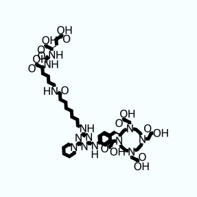 O=C(O)CC[C@H](NC(=O)NC(CCCCNC(=O)CCCCCCCNc1nc(Nc2ccc(C[C@H]3CN(CC(=O)O)CCN(CC(=O)O)CCN(CC(=O)O)CCN3CC(=O)O)cc2)nc(N2CCCCC2)n1)C(=O)O)C(=O)O